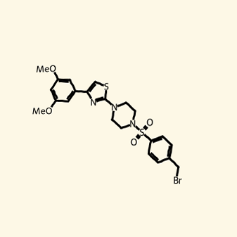 COc1cc(OC)cc(-c2csc(N3CCN(S(=O)(=O)c4ccc(CBr)cc4)CC3)n2)c1